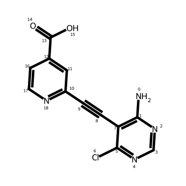 Nc1ncnc(Cl)c1C#Cc1cc(C(=O)O)ccn1